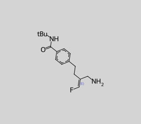 CC(C)(C)NC(=O)c1ccc(CC/C(=C\F)CN)cc1